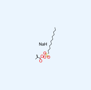 C=C(C)C(=O)OOS(=O)(=O)CCCCCCCCCCCC.[NaH]